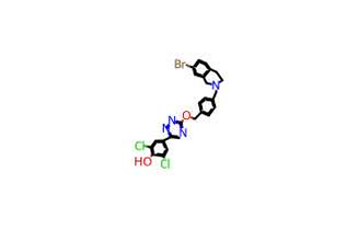 Oc1c(Cl)cc(-c2cnc(OCc3ccc(CN4CCc5ccc(Br)cc5C4)cc3)nn2)cc1Cl